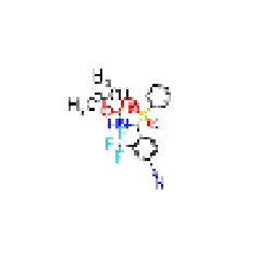 CC(C)(C)OC(=O)NC(c1ccc(C#N)cc1C(F)(F)F)S(=O)(=O)c1ccccc1